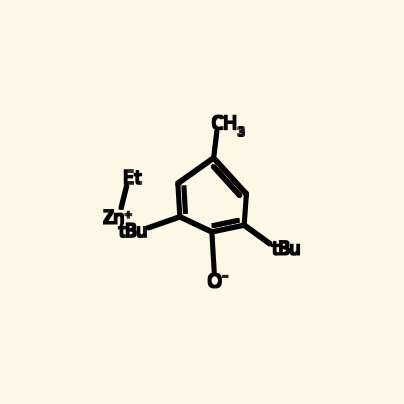 C[CH2][Zn+].Cc1cc(C(C)(C)C)c([O-])c(C(C)(C)C)c1